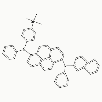 C[Si](C)(C)c1ccc(N(c2ccccc2)c2ccc3ccc4c(N(c5ccc6ccccc6c5)c5ccccn5)ccc5ccc2c3c54)cc1